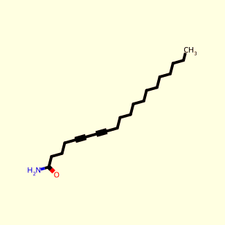 CCCCCCCCCCCCC#CC#CCCCC(N)=O